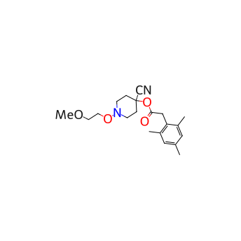 COCCON1CCC(C#N)(OC(=O)Cc2c(C)cc(C)cc2C)CC1